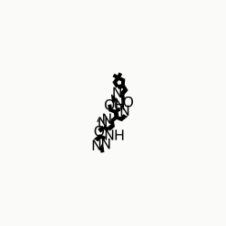 Cc1nccc(Nc2cc(-c3ccnc(N4CCn5c(cc6c5CC(C)(C)C6)C4=O)c3CO)nn(C)c2=O)n1